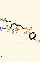 C=CC[C@H](C[C@H](O)CCOS(=O)(=O)c1ccc(C)cc1)[C@@H](C)S(N)(=O)=O